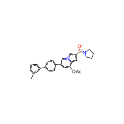 CC(=O)Oc1cc(-c2ccc(-c3cccc(C)c3)cc2)cn2cc([S+]([O-])N3CCCC3)cc12